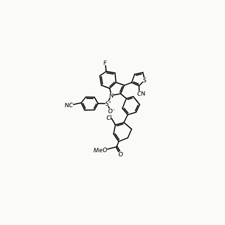 COC(=O)C1=CC(Cl)=C(c2cccc(-c3c(-c4ccsc4C#N)c4cc(F)ccc4n3[S+]([O-])c3ccc(C#N)cc3)c2)CC1